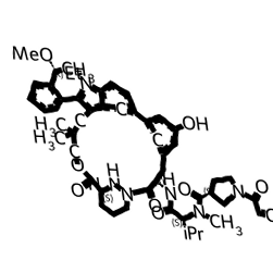 C=CC(=O)N1CC[C@H](C(=O)N(C)[C@H](C(=O)N[C@H]2Cc3cc(O)cc(c3)-c3ccc4c(c3)c(c(-c3ccccc3[C@@H](C)OC)n4CC)CC(C)(C)COC(=O)[C@@H]3CCCN(N3)C2=O)C(C)C)C1